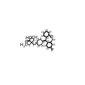 CCC(CC)(CN1CCC(=C2c3ccc(F)cc3COc3ccccc32)CC1)C(=O)O